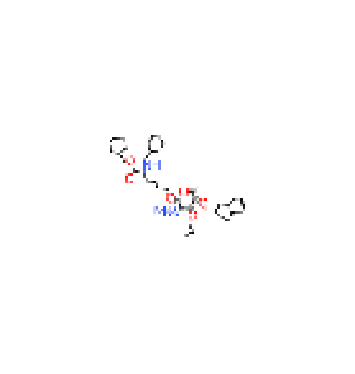 C=CCO[C@@H]1[C@@H](N=[N+]=[N-])[C@H](OCCCCC(NCc2ccccc2)C(=O)OCc2ccccc2)O[C@H](C)[C@@H]1OCc1ccc2ccccc2c1